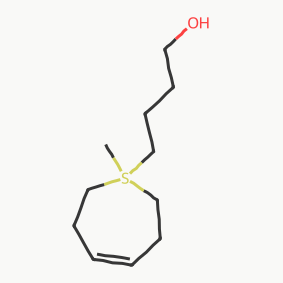 CS1(CCCCO)CCC=CCC1